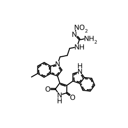 Cc1ccc2c(c1)c(C1=C(c3c[nH]c4ccccc34)C(=O)NC1=O)cn2CCCNC(N)=N[N+](=O)[O-]